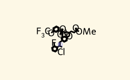 COC(=O)CCC1CN(S(=O)(=O)c2cccc(OC(F)(F)F)c2)c2cc(/C=C(\C)c3c(F)cccc3Cl)ccc2O1